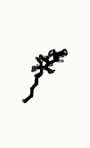 CCCCC=CC(Br)(CC)C(Br)C1CC(=O)OC1=O